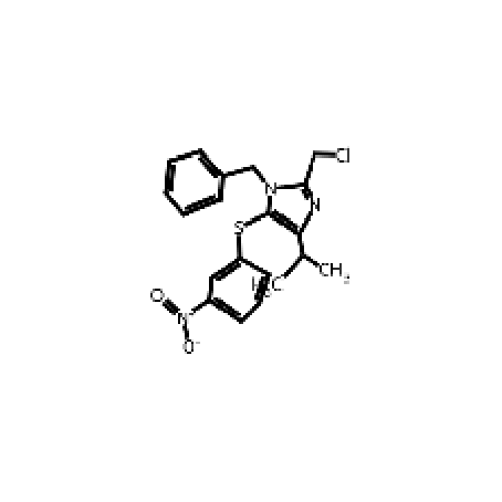 CC(C)c1nc(CCl)n(Cc2ccccc2)c1Sc1cccc([N+](=O)[O-])c1